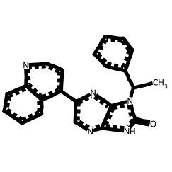 CC(c1ccccc1)n1c(=O)[nH]c2ncc(-c3ccnc4ccccc34)nc21